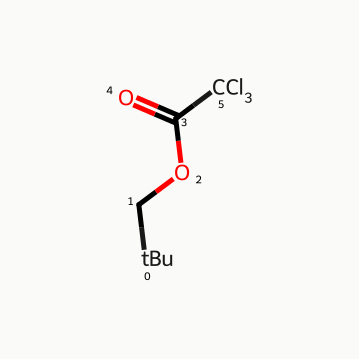 CC(C)(C)COC(=O)C(Cl)(Cl)Cl